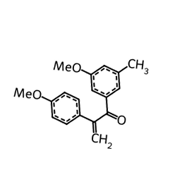 C=C(C(=O)c1cc(C)cc(OC)c1)c1ccc(OC)cc1